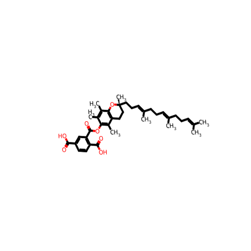 CC(C)=CCC/C(C)=C/CC/C(C)=C/CC[C@]1(C)CCc2c(C)c(OC(=O)c3cc(C(=O)O)ccc3C(=O)O)c(C)c(C)c2O1